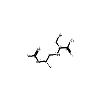 CC(=N)N[C@@H](C)CN[C@@H](CS)C(=O)O